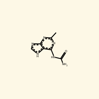 Cc1nc(NC(N)=O)c2[nH]cnc2n1